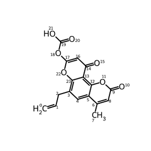 C=CCc1cc2c(C)cc(=O)oc2c2c(=O)cc(OC(=O)O)oc12